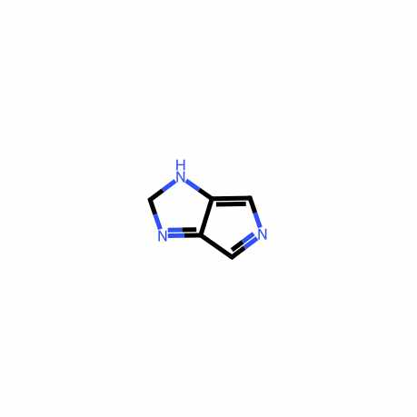 C1=NC=C2NCN=C12